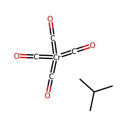 CC(C)C.O=[C]=[Cr](=[C]=O)(=[C]=O)=[C]=O